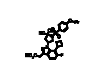 CC(C)Oc1ccc(S(=O)(=O)N2C[C@H](n3nc(CC(=O)O)c4ccc(F)c(C5CCC5)c43)C[C@@]2(C)C#N)cc1